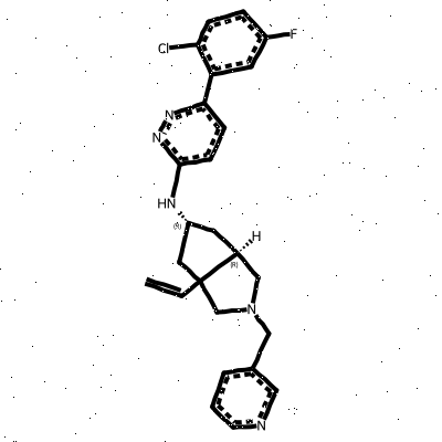 C=CC12C[C@H](Nc3ccc(-c4cc(F)ccc4Cl)nn3)C[C@H]1CN(Cc1cccnc1)C2